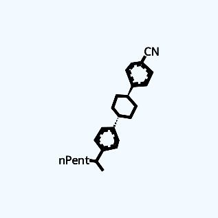 CCCCCC(C)c1ccc([C@H]2CC[C@H](c3ccc(C#N)cc3)CC2)cc1